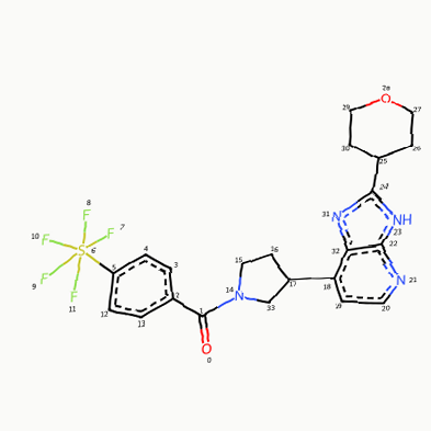 O=C(c1ccc(S(F)(F)(F)(F)F)cc1)N1CCC(c2ccnc3[nH]c(C4CCOCC4)nc23)C1